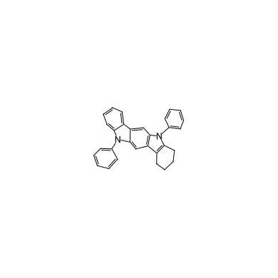 c1ccc(-n2c3c(c4cc5c(cc42)c2ccccc2n5-c2ccccc2)CCCC3)cc1